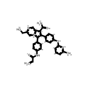 C=CC(=O)Nc1ccc(-c2c(-c3ccc(Oc4cccc(C)n4)cc3)c(C(N)=O)c3cnc(CO)cn23)cc1